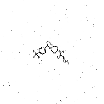 C=CC(=O)NC1CCN(C(C)c2ccc(C(F)(F)F)cc2)CC1